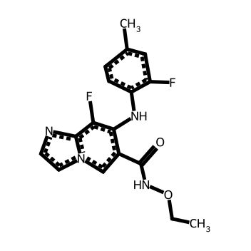 CCONC(=O)c1cn2ccnc2c(F)c1Nc1ccc(C)cc1F